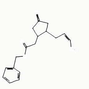 C/C=C\CC1CC(=O)CC1CC(=O)OCc1ccccc1